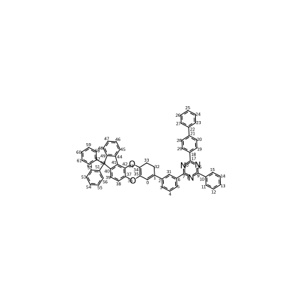 C1=C(c2cccc(-c3nc(-c4ccccc4)nc(-c4ccc(-c5ccccc5)cc4)n3)c2)CCC2=C1Oc1ccc3c(c1O2)-c1ccccc1C3(c1ccccc1)c1ccccc1